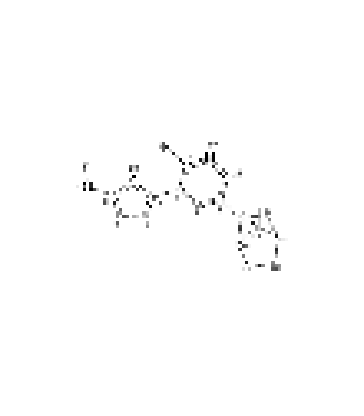 COc1ccc(-c2cc(C3CC4CCC3N4)cnc2F)s1